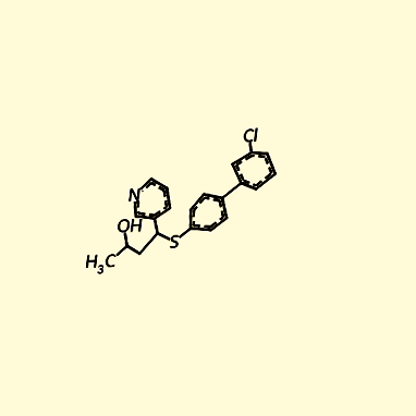 CC(O)CC(Sc1ccc(-c2cccc(Cl)c2)cc1)c1cccnc1